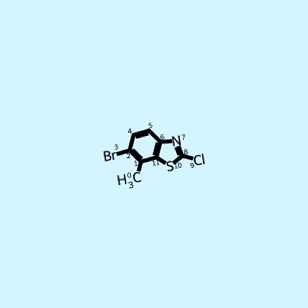 Cc1c(Br)ccc2nc(Cl)sc12